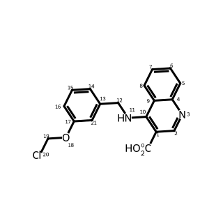 O=C(O)c1cnc2ccccc2c1NCc1cccc(OCCl)c1